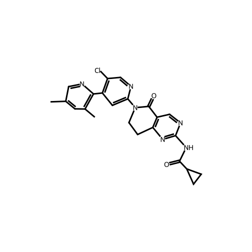 Cc1cnc(-c2cc(N3CCc4nc(NC(=O)C5CC5)ncc4C3=O)ncc2Cl)c(C)c1